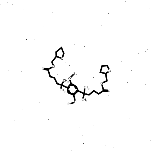 CCOc1cc(C(C)(C)CCCC(=O)OCC2CCCO2)c(OCC)cc1C(C)(C)CCCC(=O)OCC1CCCO1